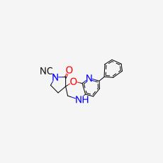 N#CN1CCC2(CNc3ccc(-c4ccccc4)nc3O2)C1=O